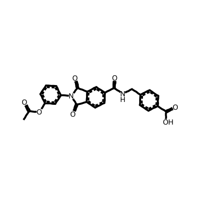 CC(=O)Oc1cccc(N2C(=O)c3ccc(C(=O)NCc4ccc(C(=O)O)cc4)cc3C2=O)c1